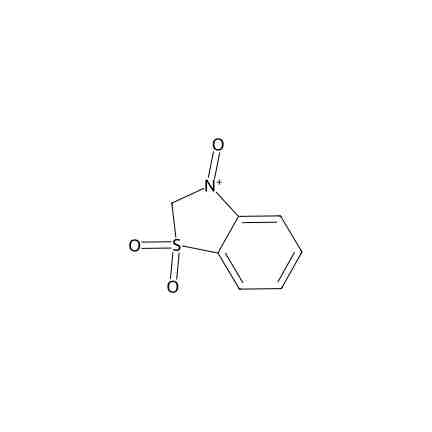 O=[N+]1CS(=O)(=O)c2ccccc21